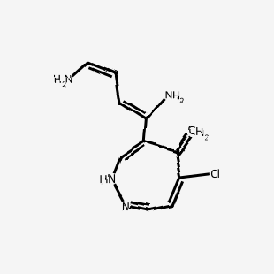 C=C1/C(Cl)=C\C=N/N/C=C1/C(N)=C/C=C\N